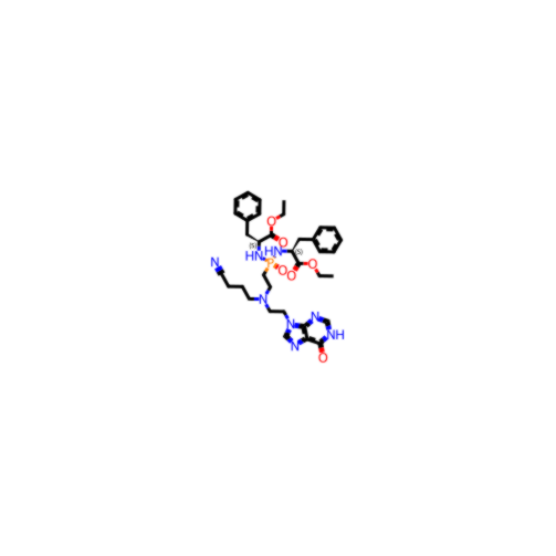 CCOC(=O)[C@H](Cc1ccccc1)NP(=O)(CCN(CCCC#N)CCn1cnc2c(=O)[nH]cnc21)N[C@@H](Cc1ccccc1)C(=O)OCC